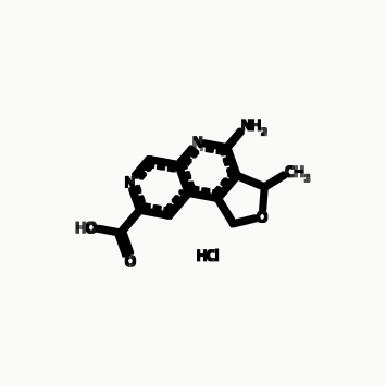 CC1OCc2c1c(N)nc1cnc(C(=O)O)cc21.Cl